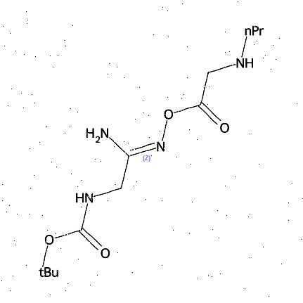 CCCNCC(=O)O/N=C(\N)CNC(=O)OC(C)(C)C